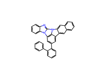 c1ccc(-c2ccccc2-c2cc3c4cc5ccccc5cc4n4c3c(c2)n2c3ccccc3nc24)cc1